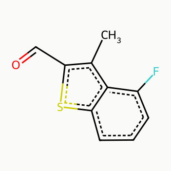 Cc1c(C=O)sc2cccc(F)c12